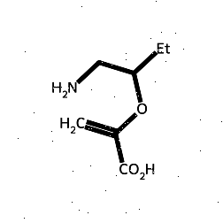 C=C(OC(CC)CN)C(=O)O